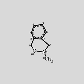 CN1Cc2ccccc2CO1